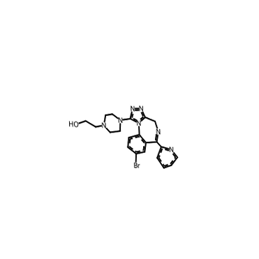 OCCN1CCN(c2nnc3n2-c2ccc(Br)cc2C(c2ccccn2)=NC3)CC1